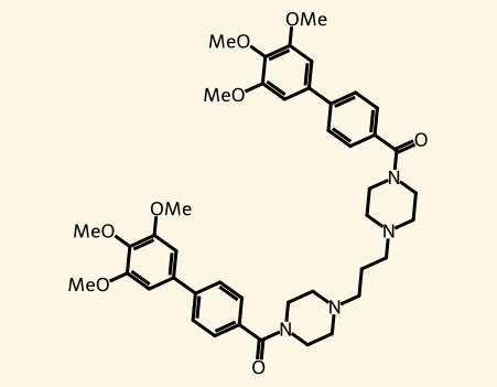 COc1cc(-c2ccc(C(=O)N3CCN(CCCN4CCN(C(=O)c5ccc(-c6cc(OC)c(OC)c(OC)c6)cc5)CC4)CC3)cc2)cc(OC)c1OC